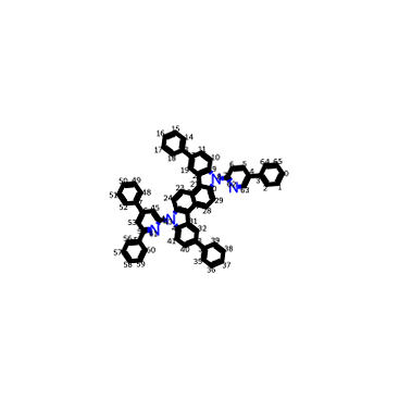 c1ccc(-c2ccc(-n3c4ccc(-c5ccccc5)cc4c4c5ccc6c(c5ccc43)c3cc(-c4ccccc4)ccc3n6-c3cc(-c4ccccc4)cc(-c4ccccc4)n3)nc2)cc1